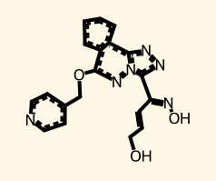 OC/C=C/C(=N\O)c1nnc2c3ccccc3c(OCc3ccncc3)nn12